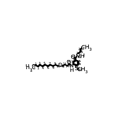 CCCCCCCCCCCOCCCC(=O)Nc1cc(C(=O)NCCCC)ccc1SC